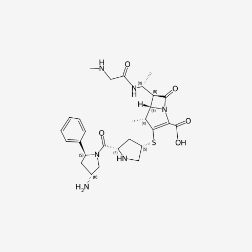 CNCC(=O)N[C@H](C)[C@H]1C(=O)N2C(C(=O)O)=C(S[C@@H]3CN[C@H](C(=O)N4C[C@H](N)C[C@H]4c4ccccc4)C3)[C@H](C)[C@H]12